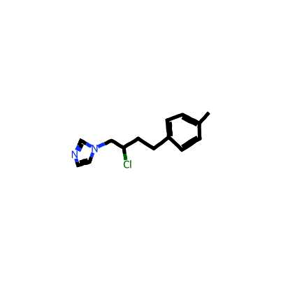 Cc1ccc(CCC(Cl)Cn2ccnc2)cc1